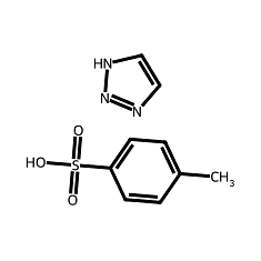 Cc1ccc(S(=O)(=O)O)cc1.c1c[nH]nn1